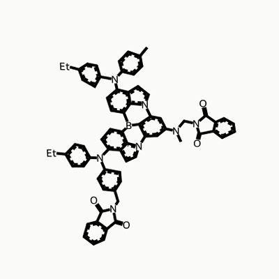 CCc1ccc(N(c2ccc(C)cc2)c2ccc3c4c2ccn4-c2cc(N(C)CN4C(=O)c5ccccc5C4=O)cc4c2B3c2ccc(N(c3ccc(CC)cc3)c3ccc(CN5C(=O)c6ccccc6C5=O)cc3)c3ccn-4c23)cc1